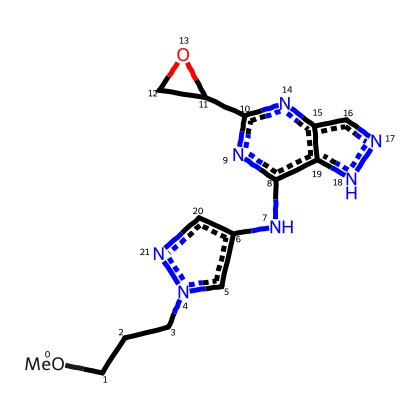 COCCCn1cc(Nc2nc(C3CO3)nc3cn[nH]c23)cn1